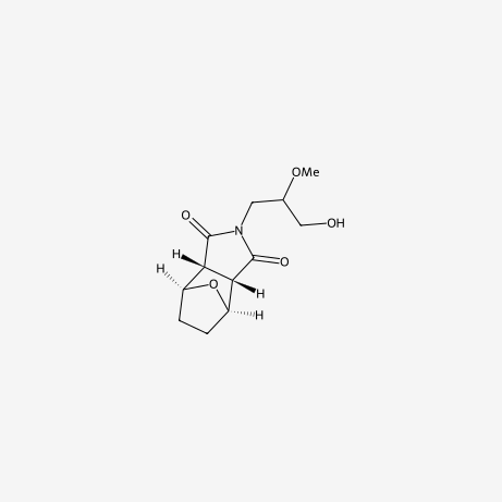 COC(CO)CN1C(=O)[C@@H]2[C@H](C1=O)[C@H]1CC[C@@H]2O1